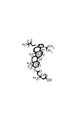 C=C(C)[C@@H]1CC[C@]2(CCC(=O)C(C)(F)F)CC[C@]3(C)[C@H](CC[C@@H]4[C@@]5(C)CC[C@H](OC(=O)CC(C)(C)CC(=O)O)C(C)(C)[C@@H]5CC[C@]43C)[C@@H]12